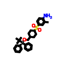 Cc1cc(S(=O)(=O)C2CCC(CO[Si](c3ccccc3)(c3ccccc3)C(C)(C)C)CC2)ccc1N